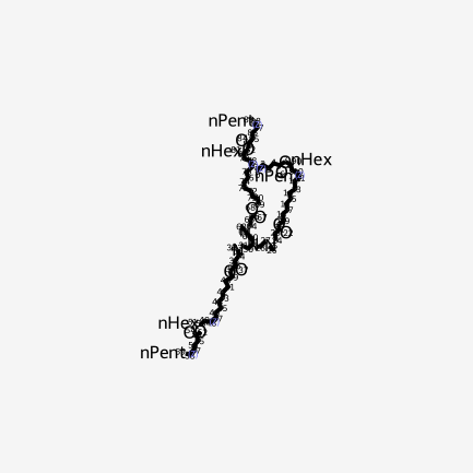 CCCCC/C=C\CCC(=O)OC(C/C=C\CCCCCCCCOC(=O)CCN(C)CCN(CCN(C)CCC(=O)OCCCCCCCC/C=C\CC(CCCCCC)OC(=O)CC/C=C\CCCCC)CCN(C)CCC(=O)OCCCCCCCC/C=C\CC(CCCCCC)OC(=O)CC/C=C\CCCCC)CCCCCC